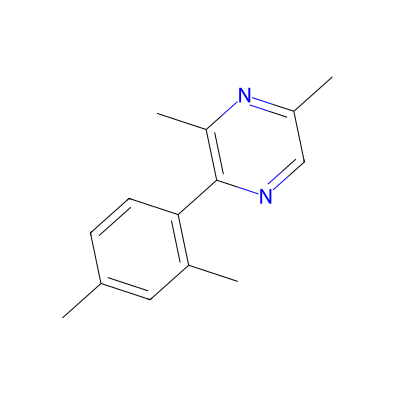 Cc1ccc(-c2ncc(C)nc2C)c(C)c1